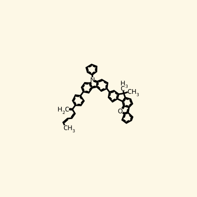 C=C(/C=C\C=C/C)c1ccc(-c2ccc3c(c2)c2cc(-c4ccc5c(c4)C(C)(C)c4ccc6c(oc7ccccc76)c4-5)ccc2n3-c2ccccc2)cc1